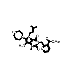 COC(=O)c1cccnc1Cn1c(=O)c2c(c(N)c(N3CCCNCC3)n2CC=C(C)C)n(C)c1=O